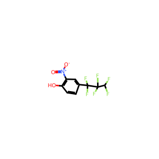 O=[N+]([O-])c1cc(C(F)(F)C(F)(F)C(F)F)ccc1O